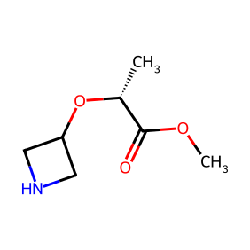 COC(=O)[C@@H](C)OC1CNC1